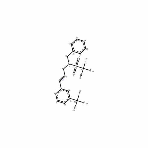 O=S(=O)(N(C/C=C/c1cccc(C(F)(F)F)c1)Cc1ccccc1)C(F)(F)F